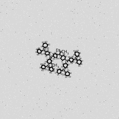 CC/C(C)=C(/c1ccc(N(c2ccc(N(c3ccccc3)c3ccccc3)cc2)c2ccc(N(c3ccccc3)c3ccccc3)cc2)cc1)c1ccc(N(c2ccc(N(c3ccccc3)c3ccccc3)cc2)c2ccc(N(c3ccccc3)c3ccccc3)c(C)c2)cc1